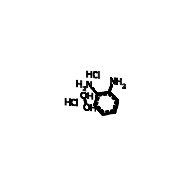 Cl.Cl.Nc1ccccc1N.OO